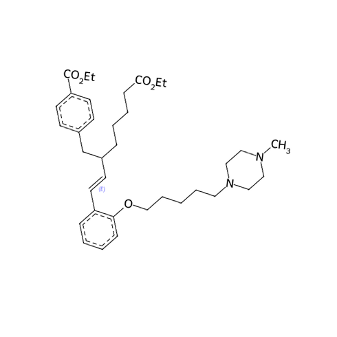 CCOC(=O)CCCCC(/C=C/c1ccccc1OCCCCCN1CCN(C)CC1)Cc1ccc(C(=O)OCC)cc1